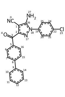 N#Cc1c(C(=O)c2ccc(-c3ccccc3)cc2)nn(-c2ccc(Cl)cc2)c1N